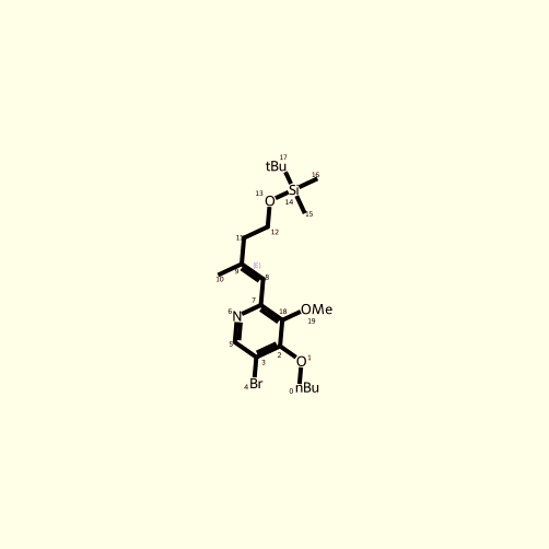 CCCCOc1c(Br)cnc(/C=C(\C)CCO[Si](C)(C)C(C)(C)C)c1OC